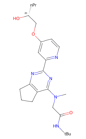 CCC[C@@H](O)COc1ccnc(-c2nc3c(c(N(C)CC(=O)NC(C)(C)C)n2)CCC3)c1